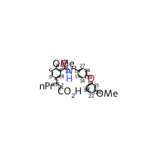 CCC[C@@H](CC(=O)O)c1ccc(OC)c(C(=O)NCc2ccc(Oc3cccc(OC)c3)cc2)c1